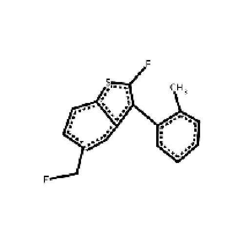 Cc1ccccc1-c1c(F)sc2ccc(CF)cc12